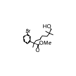 COC(=O)C(C)(CCCCC(C)(C)CO)c1cccc(Br)c1